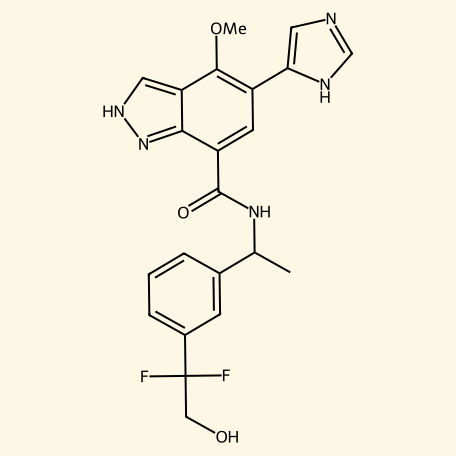 COc1c(-c2cnc[nH]2)cc(C(=O)NC(C)c2cccc(C(F)(F)CO)c2)c2n[nH]cc12